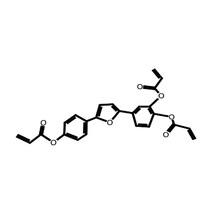 C=CC(=O)Oc1ccc(-c2ccc(-c3ccc(OC(=O)C=C)c(OC(=O)C=C)c3)o2)cc1